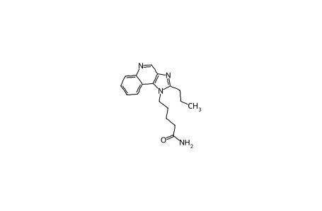 CCCc1nc2cnc3ccccc3c2n1CCCCC(N)=O